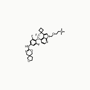 C[Si](C)(C)CCOCn1cc(C2(C(F)(F)F)CCC2)c2c(Oc3c(F)cc(NC4=NCC5(CCOC5)CO4)cc3F)ccnc21